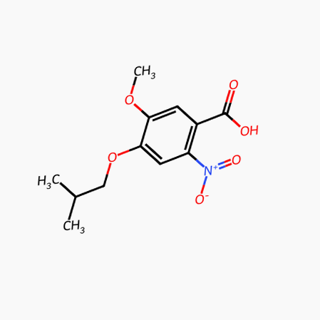 COc1cc(C(=O)O)c([N+](=O)[O-])cc1OCC(C)C